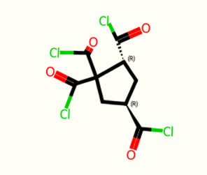 O=C(Cl)[C@@H]1C[C@@H](C(=O)Cl)C(C(=O)Cl)(C(=O)Cl)C1